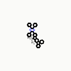 CC1(C)C2=CC3c4ccccc4C4(CCCCC4)C3CC2c2ccc(-c3nc(C4C=CC=CC4)c(-c4ccccc4)nc3-c3ccccc3)cc21